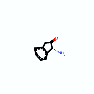 N[C@H]1C(=O)Cc2ccccc21